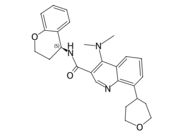 CN(C)c1c(C(=O)N[C@H]2CCOc3ccccc32)cnc2c(C3CCOCC3)cccc12